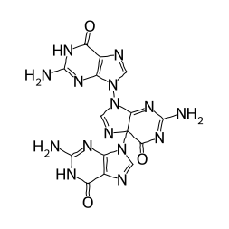 NC1=NC(=O)C2(n3cnc4c(=O)[nH]c(N)nc43)N=CN(n3cnc4c(=O)[nH]c(N)nc43)C2=N1